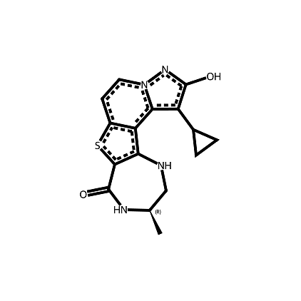 C[C@@H]1CNc2c(sc3ccn4nc(O)c(C5CC5)c4c23)C(=O)N1